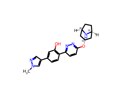 Cn1cc(-c2ccc(-c3ccc(O[C@@H]4C[C@H]5CC[C@@H](C4)N5)nn3)c(O)c2)cn1